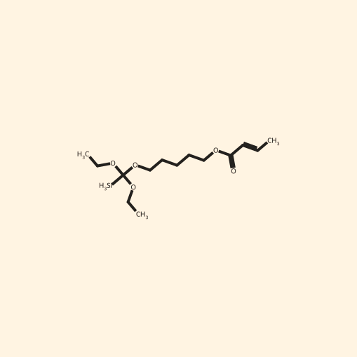 CC=CC(=O)OCCCCCOC([SiH3])(OCC)OCC